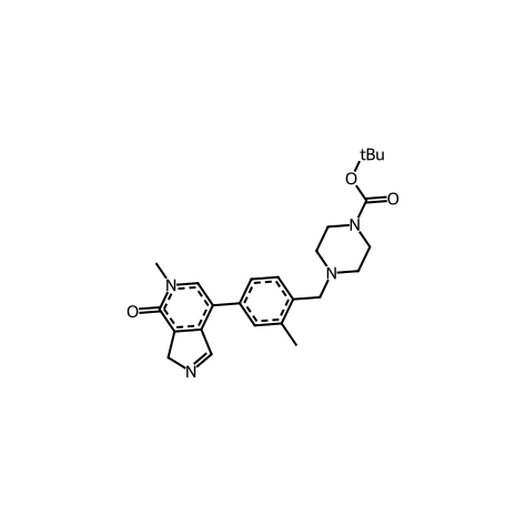 Cc1cc(-c2cn(C)c(=O)c3c2C=NC3)ccc1CN1CCN(C(=O)OC(C)(C)C)CC1